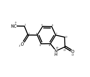 N#CCC(=O)c1ccc2c(c1)NC(=O)C2